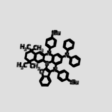 CC(C)(C)c1ccc(N2c3cc4c(cc3B3c5oc6ccccc6c5N(c5ccc(C(C)(C)C)cc5)c5cc(N(c6ccccc6)c6ccccc6)cc2c53)C(C)(C)CCC4(C)C)cc1